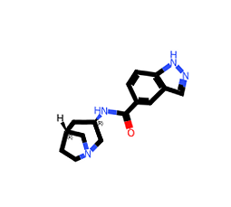 O=C(N[C@@H]1C[C@H]2CCN(C2)C1)c1ccc2[nH]ncc2c1